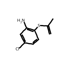 C=C(C)Sc1ccc(Cl)cc1N